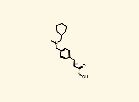 CN(Cc1ccc(/C=C/C(=O)NO)cc1)CC1CCCCC1